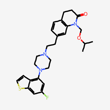 CC(C)OCN1C(=O)CCc2ccc(CCN3CCN(c4cc(F)cc5sccc45)CC3)cc21